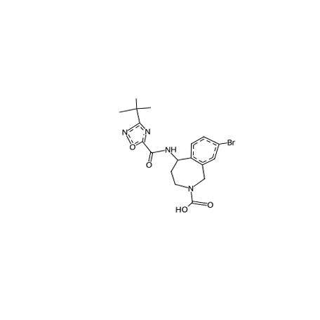 CC(C)(C)c1noc(C(=O)NC2CCN(C(=O)O)Cc3cc(Br)ccc32)n1